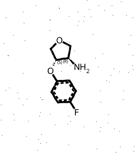 N[C@@H]1COC[C@H]1Oc1ccc(F)cc1